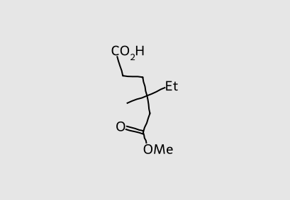 CCC(C)(CCC(=O)O)CC(=O)OC